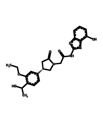 CCOc1cc([C@@H]2CC(=O)N(CC(=O)Nc3nc4c(O)cccc4s3)C2)ccc1C(C)O